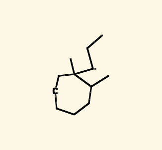 CC[CH]C1(C)CCCCCC1C